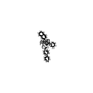 O=C(C[C@H](NS(=O)(=O)c1ccc2ccccc2c1)C(=O)N1CCCCC1)N1CCN(c2ccncc2)CC1